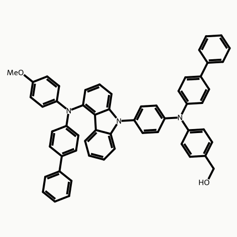 COc1ccc(N(c2ccc(-c3ccccc3)cc2)c2cccc3c2c2ccccc2n3-c2ccc(N(c3ccc(CO)cc3)c3ccc(-c4ccccc4)cc3)cc2)cc1